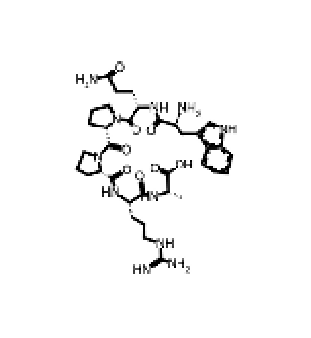 C[C@H](NC(=O)[C@H](CCCNC(=N)N)NC(=O)[C@@H]1CCCN1C(=O)[C@@H]1CCCN1C(=O)[C@H](CCC(N)=O)NC(=O)[C@@H](N)Cc1c[nH]c2ccccc12)C(=O)O